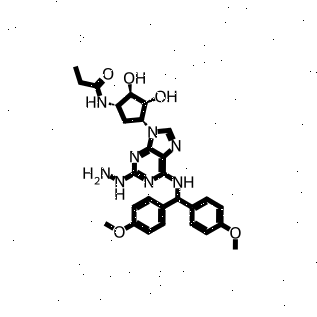 CCC(=O)N[C@H]1C[C@@H](n2cnc3c(NC(c4ccc(OC)cc4)c4ccc(OC)cc4)nc(NN)nc32)[C@H](O)[C@@H]1O